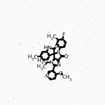 COc1ccncc1-c1nc2c(n1C(C)C)C1(C(=O)Nc3cc(C)ccc31)N(c1ccc(F)c(C)c1)C2=O